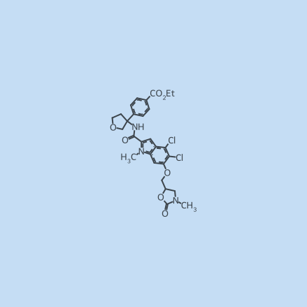 CCOC(=O)c1ccc(C2(NC(=O)c3cc4c(Cl)c(Cl)c(OCC5CN(C)C(=O)O5)cc4n3C)CCOC2)cc1